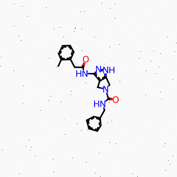 Cc1ccccc1CC(=O)Nc1n[nH]c2c1CN(C(=O)NCc1ccccc1)C2